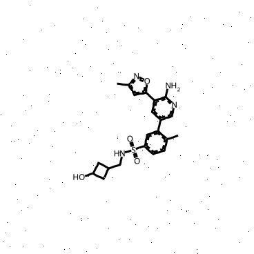 Cc1cc(-c2cc(-c3cc(S(=O)(=O)NCC4CC(O)C4)ccc3C)cnc2N)on1